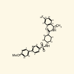 COc1ccc(-c2ccc(S(=O)(=O)N[C@H]3CC[C@H](C(=O)N[C@H](C)c4ccc(F)cc4)CC3)cn2)cc1